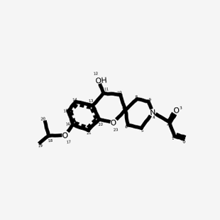 C=CC(=O)N1CCC2(CC1)CC(O)c1ccc(OC(C)C)cc1O2